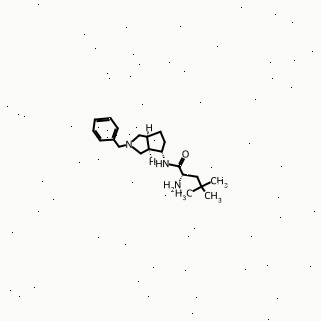 CC(C)(C)C[C@H](N)C(=O)N[C@H]1CC[C@@H]2CN(Cc3ccccc3)C[C@@H]21